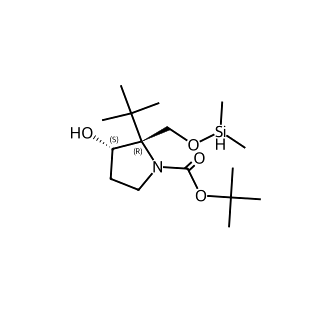 C[SiH](C)OC[C@]1(C(C)(C)C)[C@@H](O)CCN1C(=O)OC(C)(C)C